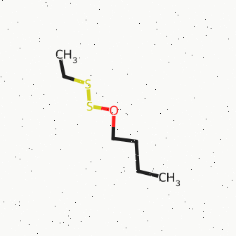 CCCCOSSCC